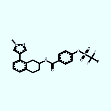 Cn1cc(-c2cccc3c2CC(NC(=O)c2ccc(OS(=O)(=O)C(F)(F)F)cc2)CC3)cn1